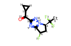 CCC(F)(F)[C@H]1C[C@@H](F)c2nc(C(=O)C3CC3)nn21